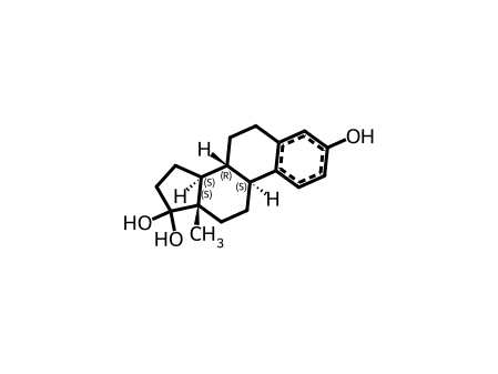 C[C@]12CC[C@@H]3c4ccc(O)cc4CC[C@H]3[C@@H]1CCC2(O)O